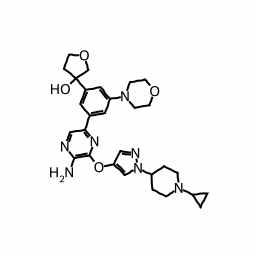 Nc1ncc(-c2cc(N3CCOCC3)cc(C3(O)CCOC3)c2)nc1Oc1cnn(C2CCN(C3CC3)CC2)c1